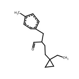 CCC1(CCC(C=O)Cc2ccc(C)cc2)CC1